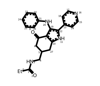 CCC(=O)NCC1CC(=O)c2c([nH]c(-c3ccncc3)c2Nc2ccccc2)C1